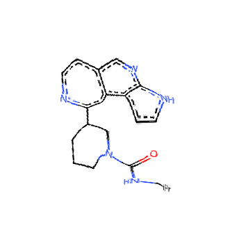 CC(C)NC(=O)N1CCCC(c2nccc3cnc4[nH]ccc4c23)C1